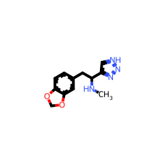 CNC(Cc1ccc2c(c1)OCO2)c1c[nH]nn1